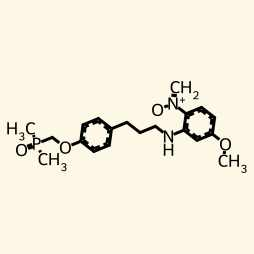 C=[N+]([O-])c1ccc(OC)cc1NCCCc1ccc(OCP(C)(C)=O)cc1